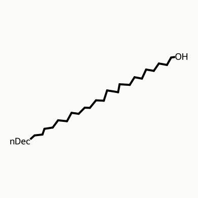 [CH2]CCCCCCCCCCCCCCCCCCCCCCCCCCCCCCCCO